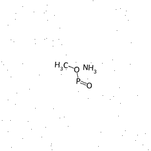 COP=O.N